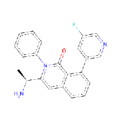 C[C@H](N)c1cc2cccc(-c3cncc(F)c3)c2c(=O)n1-c1ccccc1